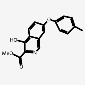 COC(=O)c1ncc2cc(Oc3ccc(C)cc3)ccc2c1O